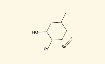 CC1CCC(C(C)C)C(O)C1.S=[Se]